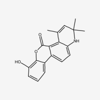 CC1=CC(C)(C)Nc2ccc3c(c21)c(=O)oc1c(O)cccc13